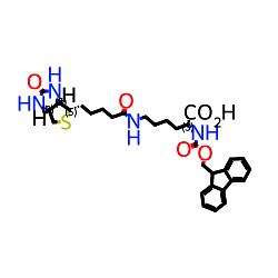 O=C(CCCC[C@@H]1SC[C@@H]2NC(=O)N[C@@H]21)NCCCC[C@H](NC(=O)OCC1c2ccccc2-c2ccccc21)C(=O)O